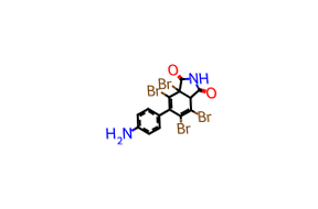 Nc1ccc(C2=C(Br)C3(Br)C(=O)NC(=O)C3C(Br)=C2Br)cc1